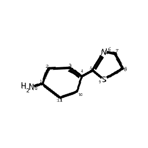 NC1CC=C(C2=NCCS2)CC1